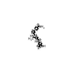 C[C@@H](NC(=O)c1cc(N2CCC(C(N)=O)CC2)ncn1)c1ncc(C(=O)Nc2cc(C(F)(F)F)c(O)cn2)s1